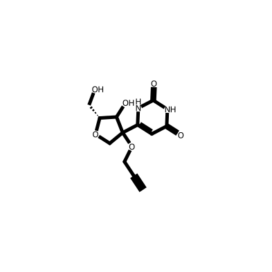 C#CCOC1(c2cc(=O)[nH]c(=O)[nH]2)CO[C@H](CO)C1O